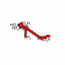 NCCOCCOCCOCCC(=O)NC(CCCCNC(=O)CN1CCN(CC(=O)O)CCN(CC(=O)O)CCN(CC(=O)O)CC1)C(=O)NCCOCCOCCOCCOCCOCCOCCOCCOCCC(=O)NC(CCCCNC(=O)CCCc1ccc(I)cc1)C(=O)O